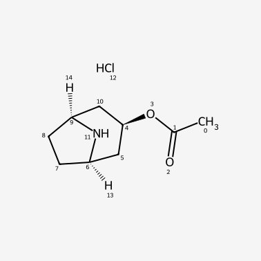 CC(=O)O[C@H]1C[C@H]2CC[C@@H](C1)N2.Cl